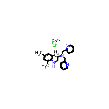 Cc1cc(C)c(NCCN(Cc2ccccn2)Cc2ccccn2)c(C)c1.[Cl-].[Cl-].[Co+2]